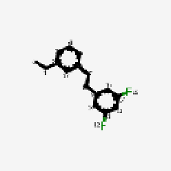 CCc1cccc(CCc2cc(F)cc(F)c2)c1